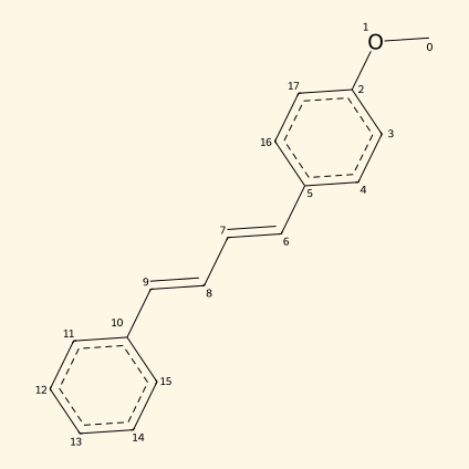 COc1ccc(C=CC=Cc2ccccc2)cc1